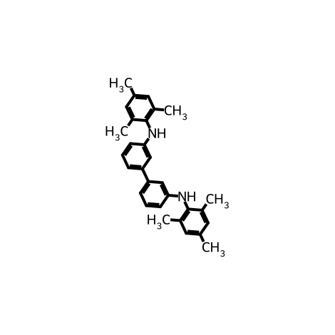 Cc1cc(C)c(Nc2cccc(-c3cccc(Nc4c(C)cc(C)cc4C)c3)c2)c(C)c1